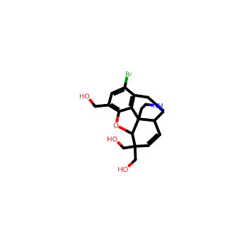 OCc1cc(Br)c2c3c1OC1C(CO)(CO)C=CC4C(C2)NCCC341